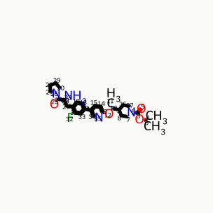 CC(C)OC(=O)N1CCC(C(C)Oc2ccc(-c3ccc(C[C@H](N)C(=O)N4CCCC4)c(F)c3)cn2)CC1